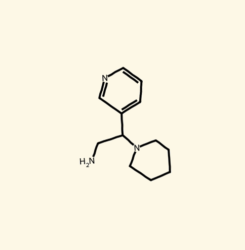 NCC(c1cccnc1)N1CCCCC1